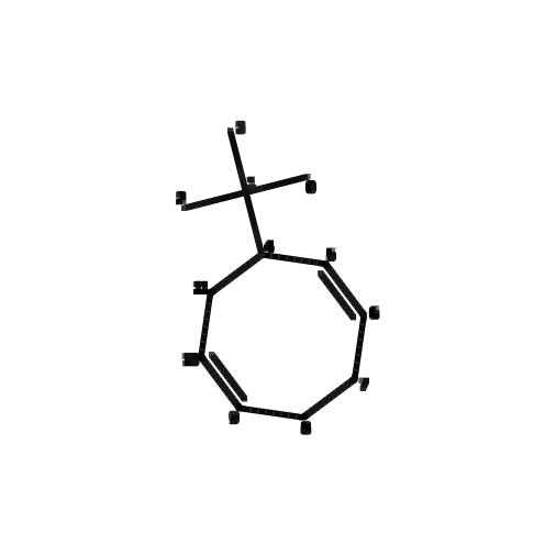 CC(C)(C)C1/C=C\CC/C=C\C1